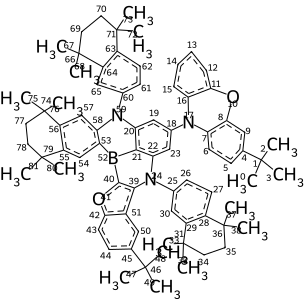 CC(C)(C)c1ccc2c(c1)Oc1ccccc1N2c1cc2c3c(c1)N(c1ccc4c(c1)C(C)(C)CCC4(C)C)c1c(oc4ccc(C(C)(C)C)cc14)B3c1cc3c(cc1N2c1ccc2c(c1)C(C)(C)CCC2(C)C)C(C)(C)CCC3(C)C